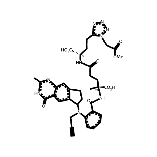 C#CCN(c1ccccc1C(=O)N[C@](C)(CCC(=O)N[C@@H](CCc1nnnn1CC(=O)OC)C(=O)O)C(=O)O)C1CCc2cc3nc(C)[nH]c(=O)c3cc21